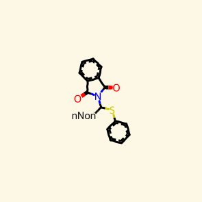 CCCCCCCCCC(Sc1ccccc1)N1C(=O)c2ccccc2C1=O